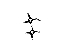 CCOc1cc(=O)c1=O.O=c1c(O)c(O)c1=O